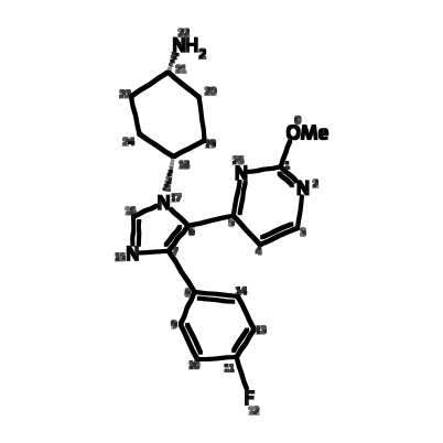 COc1nccc(-c2c(-c3ccc(F)cc3)ncn2[C@H]2CC[C@@H](N)CC2)n1